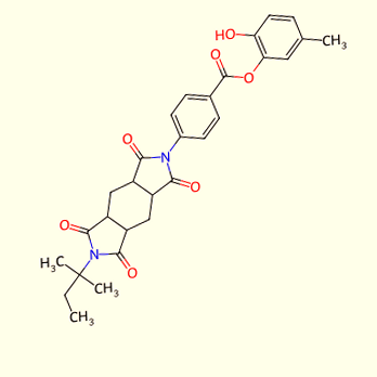 CCC(C)(C)N1C(=O)C2CC3C(=O)N(c4ccc(C(=O)Oc5cc(C)ccc5O)cc4)C(=O)C3CC2C1=O